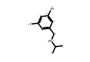 CC(C)NCc1cc(F)cc(S)c1